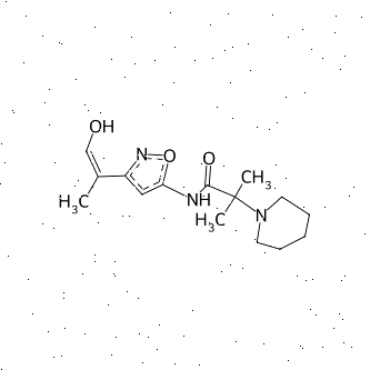 C/C(=C/O)c1cc(NC(=O)C(C)(C)N2CCCCC2)on1